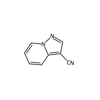 N#Cc1cnn2ccccc12